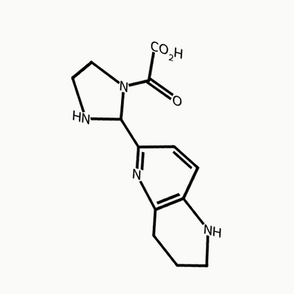 O=C(O)C(=O)N1CCNC1c1ccc2c(n1)CCCN2